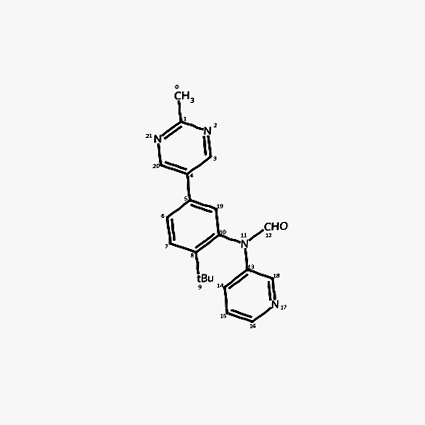 Cc1ncc(-c2ccc(C(C)(C)C)c(N(C=O)c3cccnc3)c2)cn1